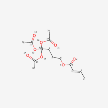 CC=CC(=O)OCCC[Si](OC(C)=O)(OC(C)=O)OC(C)=O